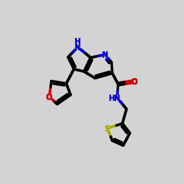 O=C(NCc1cccs1)c1cnc2[nH]cc(-c3ccoc3)c2c1